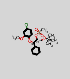 COc1cc(Cl)ccc1O[C@H](c1ccccc1)[C@@H](CO[Si](C)(C)C)OS(C)(=O)=O